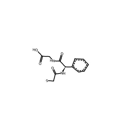 O=C(O)CNC(=O)[C@H](NC(=O)C[S])c1ccccc1